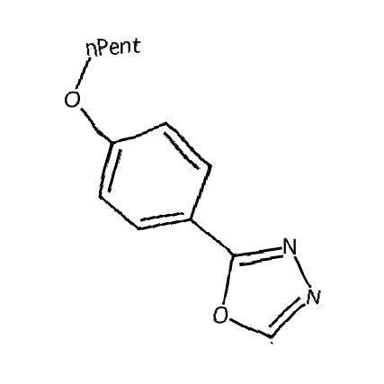 CCCCCOc1ccc(-c2nn[c]o2)cc1